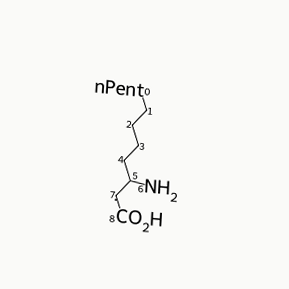 CCCCCCCCCC(N)[CH]C(=O)O